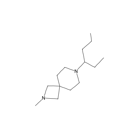 CCCC(CC)N1CCC2(CC1)CN(C)C2